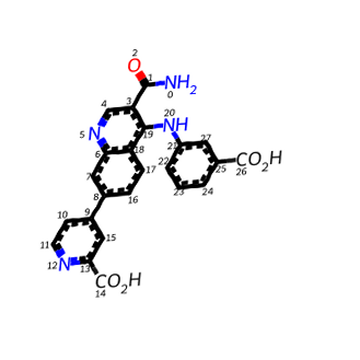 NC(=O)c1cnc2cc(-c3ccnc(C(=O)O)c3)ccc2c1Nc1cccc(C(=O)O)c1